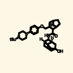 CC(C)(C)N1CCN(c2ccc(OCC3CC4CCC(N4)C3C(=O)NC3[C@@H]4CC5C[C@H]3CC(O)(C5)C4)cc2)CC1